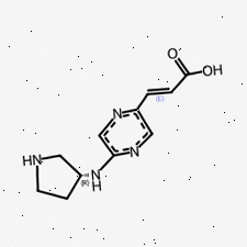 O=C(O)/C=C/c1cnc(N[C@@H]2CCNC2)cn1